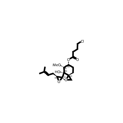 CO[C@@H]1[C@H](OC(=O)CCCCl)CC[C@]2(CO2)[C@@]1(O)[C@@]1(C)O[C@H]1CC=C(C)C